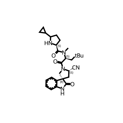 CN(C(=O)[C@@H]1CCC(C2CC2)N1)[C@@H](CC(C)(C)C)C(=O)N1C[C@]2(C[C@H]1C#N)C(=O)Nc1ccccc12